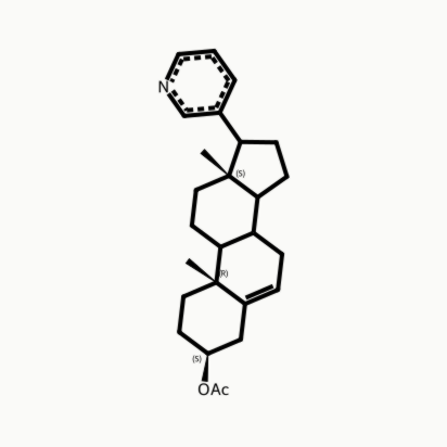 CC(=O)O[C@H]1CC[C@@]2(C)C(=CCC3C4CCC(c5cccnc5)[C@@]4(C)CCC32)C1